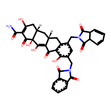 NC(=O)C1=C(O)C[C@@H]2C[C@@H]3Cc4c(CN5C(=O)C6C=CC=CC6C5=O)cc(CN5C(=O)c6ccccc6C5=O)c(O)c4C(=O)C3=C(O)[C@]2(O)C1=O